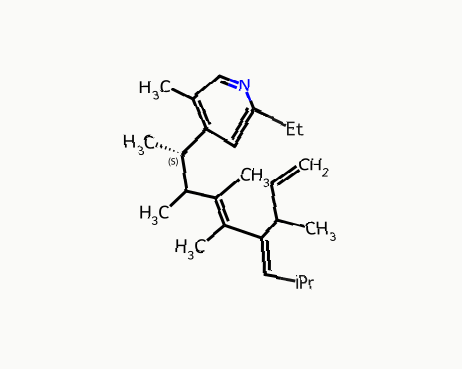 C=CC(C)C(=CC(C)C)C(C)=C(C)C(C)[C@H](C)c1cc(CC)ncc1C